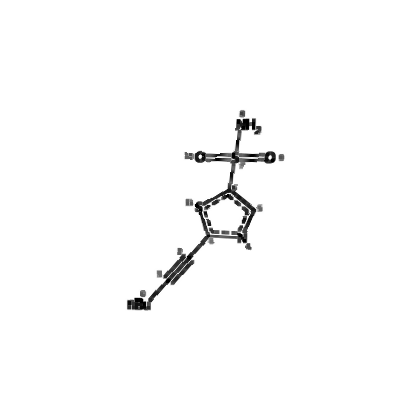 CCCCC#Cc1ncc(S(N)(=O)=O)s1